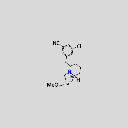 COC[C@H]1C[C@H]2CCCC(Cc3cc(Cl)cc(C#N)c3)N2C1